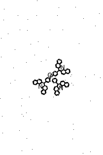 O=P(c1ccc(-c2c3ccc4ccccc4c3nc3c2ccc2ccccc23)cc1)(c1ccc(-c2c3ccc4ccccc4c3nc3c2ccc2ccccc23)cc1)c1ccc(C2c3ccc4ccccc4c3N=C3c4ccccc4CCC32)cc1